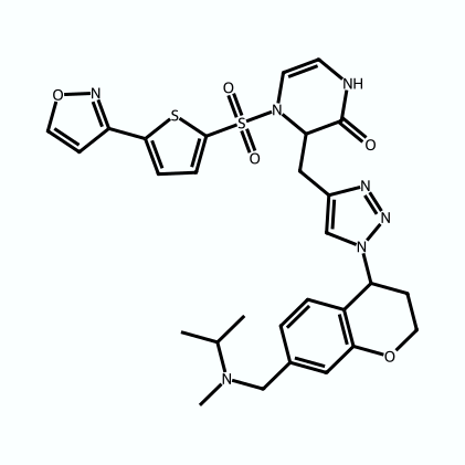 CC(C)N(C)Cc1ccc2c(c1)OCCC2n1cc(CC2C(=O)NC=CN2S(=O)(=O)c2ccc(-c3ccon3)s2)nn1